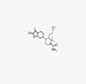 Cn1c(=O)oc2cc(C3CCN(C(N)=O)C(C)(C)C3CCC3CC3)ccc21